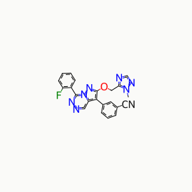 Cn1ncnc1COc1nn2c(-c3ccccc3F)nncc2c1-c1cccc(C#N)c1